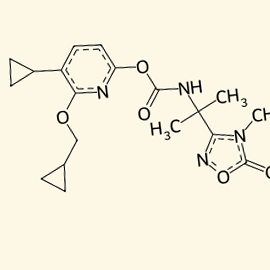 Cn1c(C(C)(C)NC(=O)Oc2ccc(C3CC3)c(OCC3CC3)n2)noc1=O